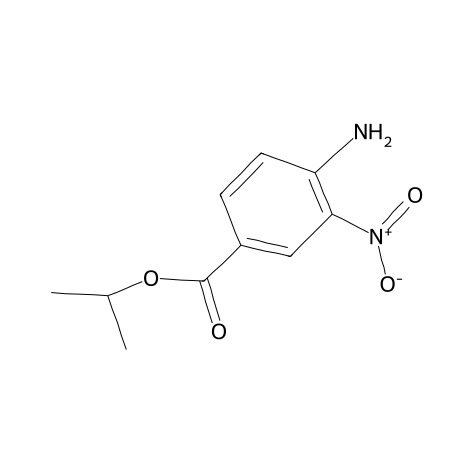 CC(C)OC(=O)c1ccc(N)c([N+](=O)[O-])c1